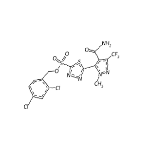 Cn1nc(C(F)(F)F)c(C(N)=O)c1-c1nnc(S(=O)(=O)OCc2ccc(Cl)cc2Cl)s1